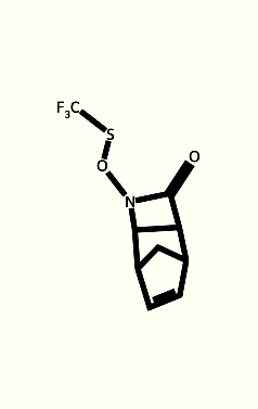 O=C1C2C3C=CC(C3)C2N1OSC(F)(F)F